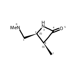 CNC[C@H]1NC(=O)[C@H]1C